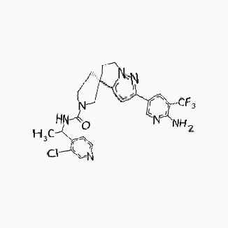 CC(NC(=O)N1CC[C@@]2(CCn3nc(-c4cnc(N)c(C(F)(F)F)c4)cc32)C1)c1ccncc1Cl